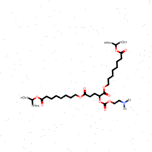 CCCCCCCCC(CCCCCC)OC(=O)CCCCCCCOC(=O)CCC(OC(=O)OCCN(CC)CC)C(=O)OCCCCCCCC(=O)OC(CCCCCC)CCCCCCCC